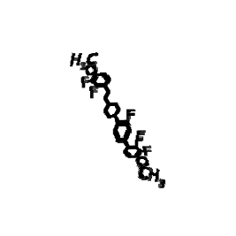 CCOc1ccc(CCC2CCC(c3ccc(-c4ccc(OCC)c(F)c4F)cc3F)CC2)c(F)c1F